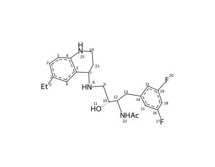 CCc1ccc2c(c1)C(NC[C@@H](O)C(Cc1cc(F)cc(F)c1)NC(C)=O)CCN2